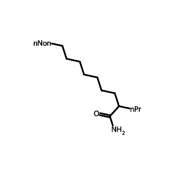 CCCCCCCCCCCCCCCCC(CCC)C(N)=O